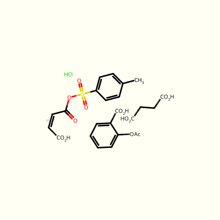 CC(=O)Oc1ccccc1C(=O)O.Cc1ccc(S(=O)(=O)OC(=O)/C=C\C(=O)O)cc1.Cl.O=C(O)CCC(=O)O